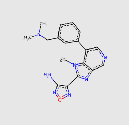 CCn1c(-c2nonc2N)nc2cncc(-c3cccc(CN(C)C)c3)c21